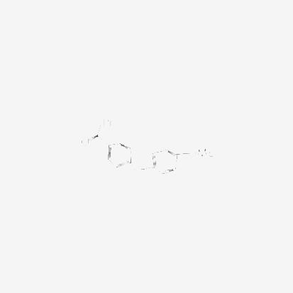 COc1ccc(Oc2ccc(C(=O)C(C)C)cc2)cc1